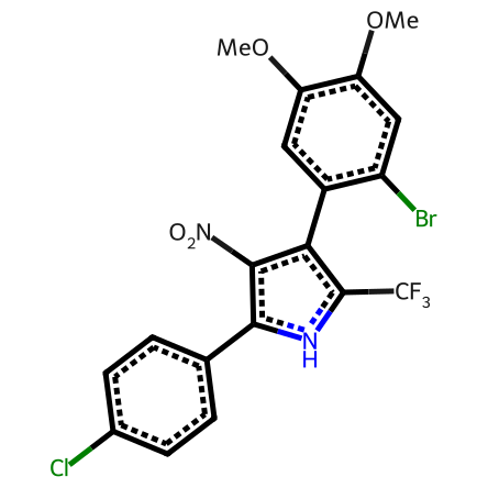 COc1cc(Br)c(-c2c(C(F)(F)F)[nH]c(-c3ccc(Cl)cc3)c2[N+](=O)[O-])cc1OC